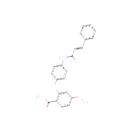 COc1ccc(C(C)=O)c(Oc2ccc(NC(=O)/C=C/c3ccccc3)cc2)c1